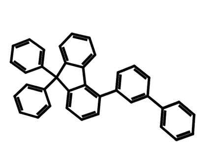 c1ccc(-c2cccc(-c3cccc4c3-c3ccccc3C4(c3ccccc3)c3ccccc3)c2)cc1